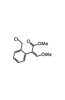 COC=C(C(=O)OC)c1ccccc1CCl